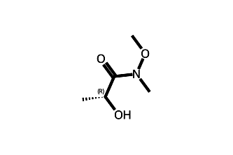 CON(C)C(=O)[C@@H](C)O